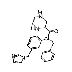 O=C(C1CNCCN1)N(Cc1ccccc1)c1cccc(Cn2ccnc2)c1